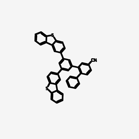 N#Cc1ccc(-c2ccccc2)c(-c2cc(-c3ccc4sc5ccccc5c4c3)cc(-c3ccc4sc5ccccc5c4c3)c2)c1